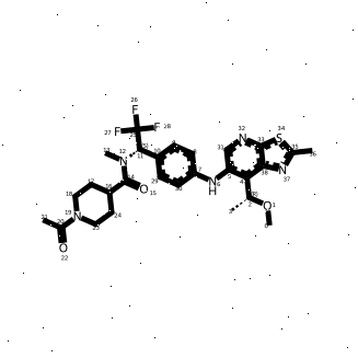 CO[C@H](C)c1c(Nc2ccc([C@H](N(C)C(=O)C3CCN(C(C)=O)CC3)C(F)(F)F)cc2)cnc2sc(C)nc12